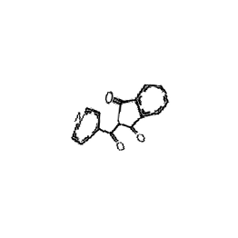 O=C(c1ccncc1)C1C(=O)c2ccccc2C1=O